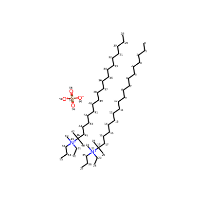 CCCCCCCCCCCCCCCCCCC(C)(C)[N+](C)(CC)CCC.CCCCCCCCCCCCCCCCCCC(C)(C)[N+](C)(CC)CCC.O=S(=O)([O-])[O-]